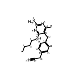 CCCCNc1nc(N)nc(C)c1Cc1ccc(CC#N)cc1